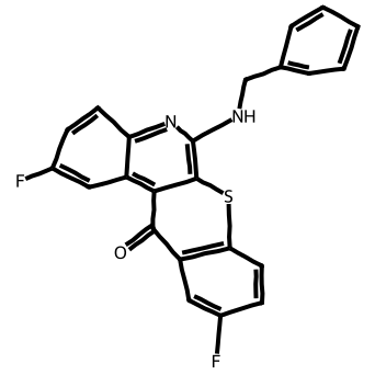 O=c1c2cc(F)ccc2sc2c(NCc3ccccc3)nc3ccc(F)cc3c12